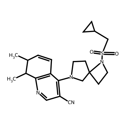 CC1C=Cc2c(ncc(C#N)c2N2CCC3(CCN3S(=O)(=O)CC3CC3)C2)C1C